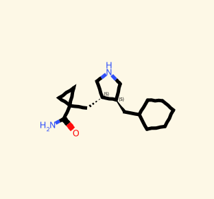 NC(=O)C1(C[C@@H]2CNC[C@H]2CC2CCCCC2)CC1